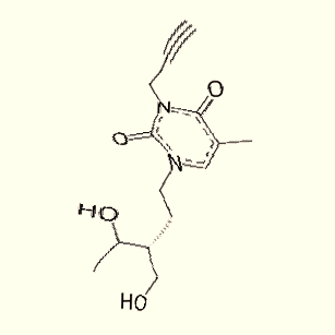 C#CCn1c(=O)c(C)cn(CC[C@H](CO)C(C)O)c1=O